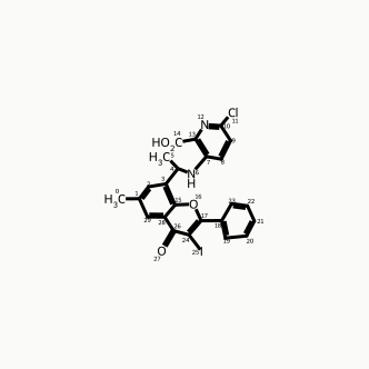 Cc1cc(C(C)Nc2ccc(Cl)nc2C(=O)O)c2oc(-c3ccccc3)c(I)c(=O)c2c1